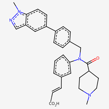 CN1CCC(C(=O)N(Cc2ccc(-c3ccc4c(cnn4C)c3)cc2)c2cccc(C=CC(=O)O)c2)CC1